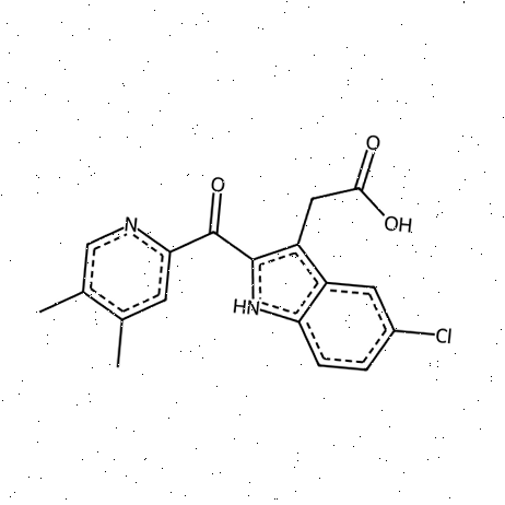 Cc1cnc(C(=O)c2[nH]c3ccc(Cl)cc3c2CC(=O)O)cc1C